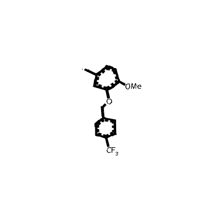 [CH2]c1ccc(OC)c(OCc2ccc(C(F)(F)F)cc2)c1